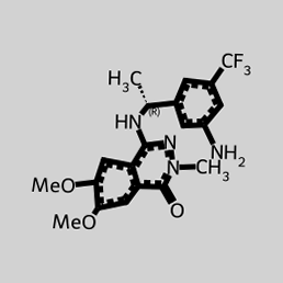 COc1cc2c(N[C@H](C)c3cc(N)cc(C(F)(F)F)c3)nn(C)c(=O)c2cc1OC